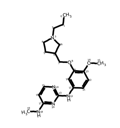 CCCN1CCC(COc2cc(Nc3nccc(NC)n3)ccc2OC)C1